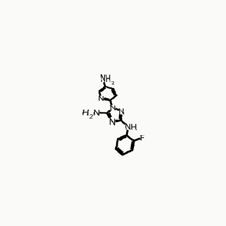 Nc1ccc(-n2nc(Nc3ccccc3F)nc2N)nc1